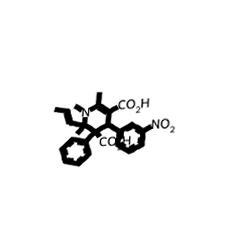 CC=CC1(C)N(C)C(C)=C(C(=O)O)C(c2cccc([N+](=O)[O-])c2)C1(C(=O)O)c1ccccc1